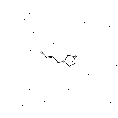 CCC=CCN1CCNC1